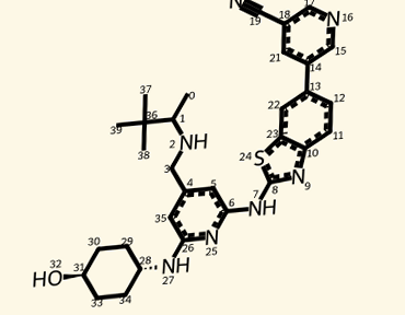 CC(NCc1cc(Nc2nc3ccc(-c4cncc(C#N)c4)cc3s2)nc(N[C@H]2CC[C@H](O)CC2)c1)C(C)(C)C